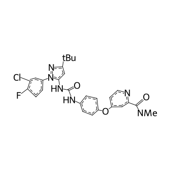 CNC(=O)c1cc(Oc2ccc(NC(=O)Nc3cc(C(C)(C)C)nn3-c3ccc(F)c(Cl)c3)cc2)ccn1